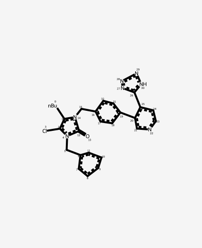 CCCCc1c(Cl)n(Cc2ccccc2)c(=O)n1Cc1ccc(-c2cnccc2-c2nnn[nH]2)cc1